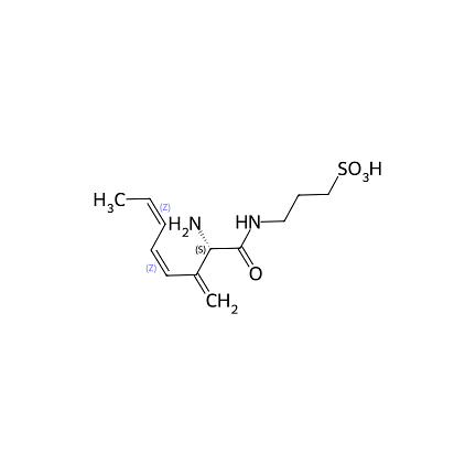 C=C(/C=C\C=C/C)[C@H](N)C(=O)NCCCS(=O)(=O)O